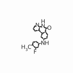 Cc1ccc(Nc2ccc3c(=O)[nH]c4ncccc4c3c2)cc1F